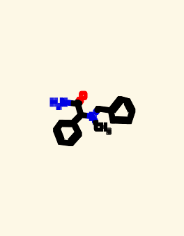 CN(Cc1ccccc1)C(C(N)=O)c1ccccc1